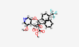 COC(=O)[C@@H]1C(c2ccccc2)[C@@]2(c3ccc(C(F)(F)F)cc3)Oc3cncc(OC)c3[C@@]1(O)C2=O